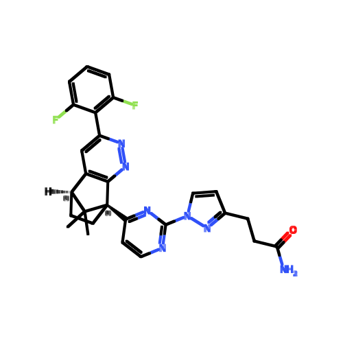 CC1(C)[C@H]2CC[C@@]1(c1ccnc(-n3ccc(CCC(N)=O)n3)n1)c1nnc(-c3c(F)cccc3F)cc12